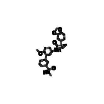 CNC(=O)c1cccc(-c2cc(NC(=O)C3(c4ccc5c(c4)OCO5)CC3)ccc2OC)c1